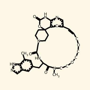 Cc1cc(CC2NC(=O)N3CCC4(CC3)OC(=O)Nc3ncc(cc34)C=CCOCCOCCN(C)C2=O)cc2cn[nH]c12